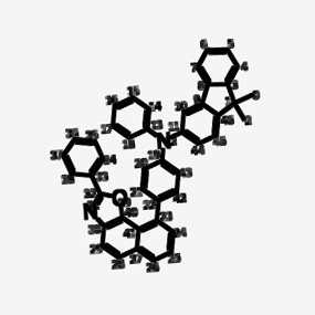 CC1(C)c2ccccc2-c2cc(N(c3ccccc3)c3ccc(-c4cccc5ccc6nc(-c7ccccc7)oc6c45)cc3)ccc21